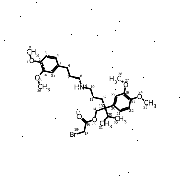 COc1ccc(CCCNCCCC(COC(=O)CBr)(c2ccc(OC)c(OC)c2)C(C)C)cc1OC